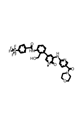 Cn1cc(-c2cccc(NC(=O)c3ccc(S(F)(F)(F)(F)F)cc3)c2CO)cc(Nc2ccc(C(=O)N3CCOCC3)cn2)c1=O